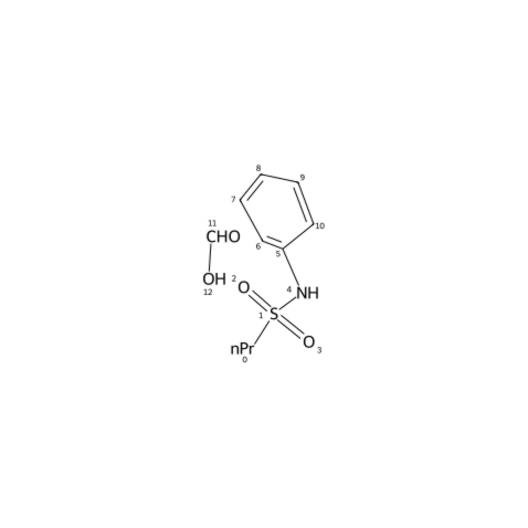 CCCS(=O)(=O)Nc1ccccc1.O=CO